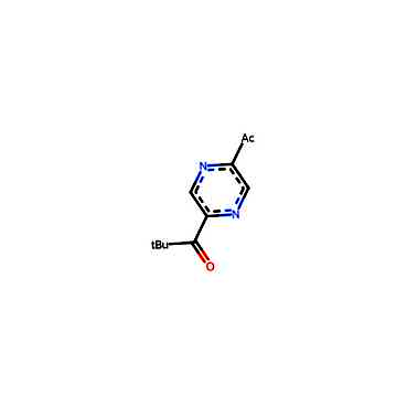 CC(=O)c1cnc(C(=O)C(C)(C)C)cn1